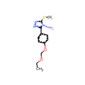 CCOCOc1ccc(-c2nnc(SC)n2N)cc1